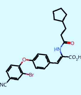 N#Cc1ccc(Oc2ccc(/C=C(\NC(=O)CCC3CCCC3)C(=O)O)cc2)c(Br)c1